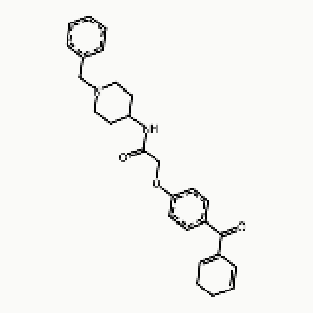 O=C(COc1ccc(C(=O)C2=CCCC=C2)cc1)NC1CCN(Cc2ccccc2)CC1